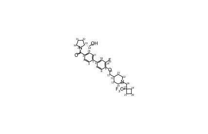 O=C(c1ccc(-c2ccc(OCC3CCN(CC4(C(F)(F)F)CCC4)CC3)c(F)c2)cc1)N1CCC[C@@H]1CO